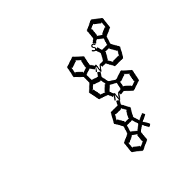 CC1(C)c2ccccc2-c2ccc(-n3c4ccccc4c4c3ccc3c5ccccc5n(-c5cccc6c5sc5ccccc56)c34)cc21